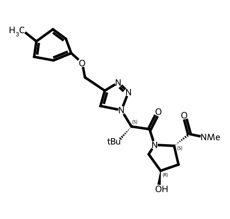 CNC(=O)[C@@H]1C[C@@H](O)CN1C(=O)[C@@H](n1cc(COc2ccc(C)cc2)nn1)C(C)(C)C